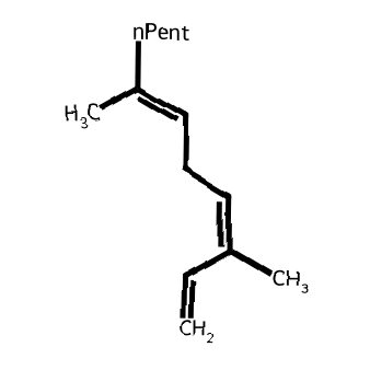 C=CC(C)=CCC=C(C)CCCCC